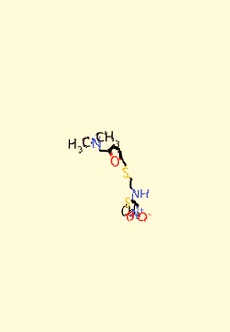 CSC(=C[N+](=O)[O-])NCCSCc1ccc(CN(C)C)o1